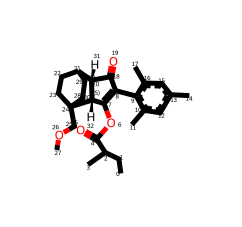 CCC(C)C(=O)OC1=C(c2c(C)cc(C)cc2C)C(=O)[C@H]2C3CCC(COC)(CC3)[C@@H]12